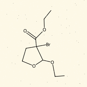 CCOC(=O)C1(Br)CCOC1OCC